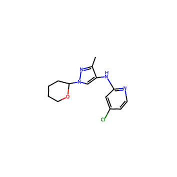 Cc1nn(C2CCCCO2)cc1Nc1cc(Cl)ccn1